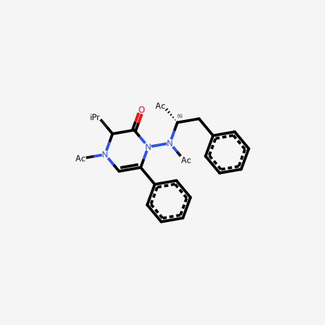 CC(=O)[C@H](Cc1ccccc1)N(C(C)=O)N1C(=O)C(C(C)C)N(C(C)=O)C=C1c1ccccc1